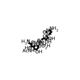 CC(=O)NC1C(O)CC(OP(=O)(O)OCC2OC(n3ccc(N)nc3=O)C(O)C2O)(C(=O)O)OC1[C@H](O)[C@H](O)CN